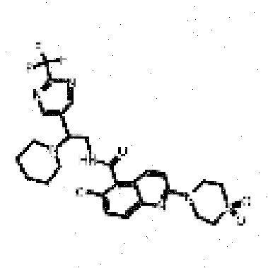 O=C(NCC(c1cnc(C(F)(F)F)nc1)N1CCCCC1)c1c(Cl)ccc2nc(N3CCS(=O)(=O)CC3)ccc12